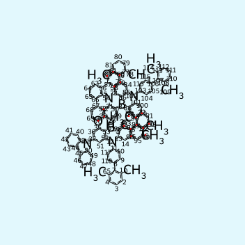 Cc1cccc(C)c1-c1ccc(N2c3ccc(-c4c(C)cccc4C)cc3B3c4cc5c(cc4Oc4cc(-n6c7ccccc7c7ccccc76)cc2c43)N(c2c(-c3ccccc3)cccc2-c2ccccc2)c2cc(-c3c(C)cccc3C)cc3c2B5c2cc(-c4c(C)cccc4C)ccc2N3c2ccc(-c3c(C)cccc3C)cc2)cc1